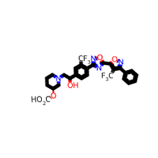 O=C(O)O[C@H]1CCCN(CC(O)c2ccc(-c3noc(-c4onc(-c5ccccc5)c4C(F)(F)F)n3)c(C(F)(F)F)c2)C1